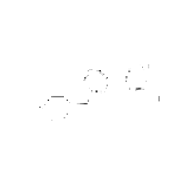 CC1=CC(c2cccc(CN3CCN(C)CC3)c2)=CNC1